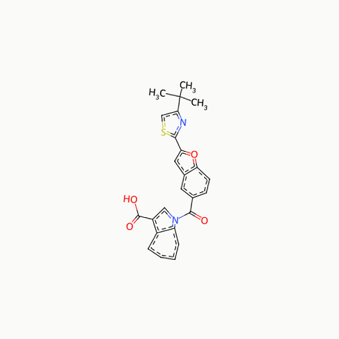 CC(C)(C)c1csc(-c2cc3cc(C(=O)n4cc(C(=O)O)c5ccccc54)ccc3o2)n1